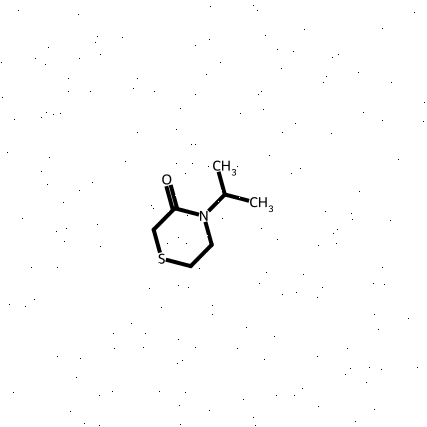 CC(C)N1CCSCC1=O